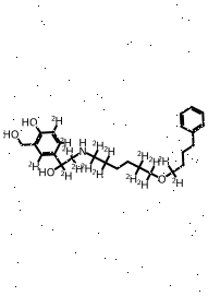 [2H]c1c([2H])c(C([2H])(O)C([2H])([2H])NC([2H])([2H])C([2H])([2H])CCC([2H])([2H])C([2H])([2H])OC([2H])([2H])CCCc2ccccc2)c([2H])c(CO)c1O